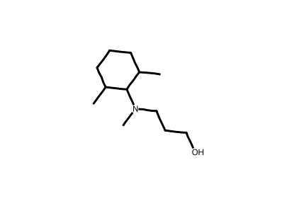 CC1CCCC(C)C1N(C)CCCO